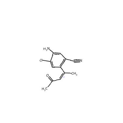 CC(=O)/C=C(/C)c1cc(Cl)c(N)cc1C#N